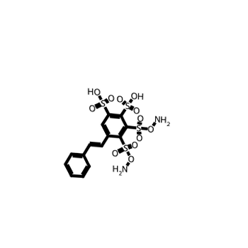 NOS(=O)(=O)c1c(C=Cc2ccccc2)cc(S(=O)(=O)O)c(S(=O)(=O)O)c1S(=O)(=O)ON